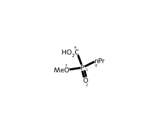 CCCP(=O)(OC)C(=O)O